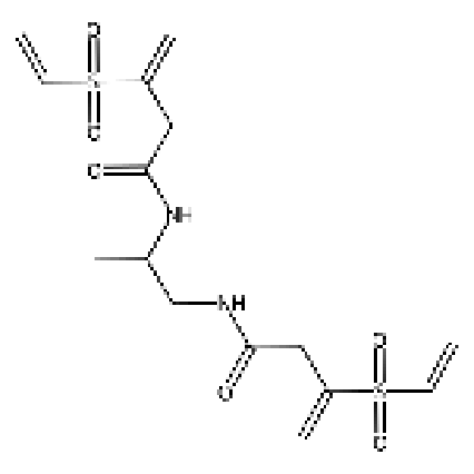 C=CS(=O)(=O)C(=C)CC(=O)NCC(C)NC(=O)CC(=C)S(=O)(=O)C=C